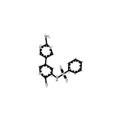 Nc1ncc(-c2cnc(Cl)c(NS(=O)(=O)c3ccccc3)c2)cn1